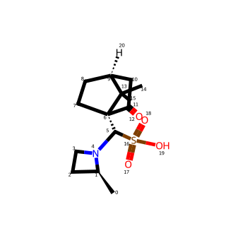 C[C@H]1CCN1C([C@@]12CC[C@@H](CC1=O)C2(C)C)S(=O)(=O)O